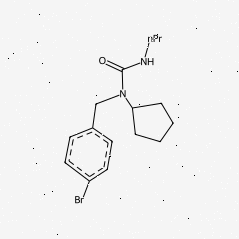 CCCNC(=O)N(Cc1ccc(Br)cc1)C1CCCC1